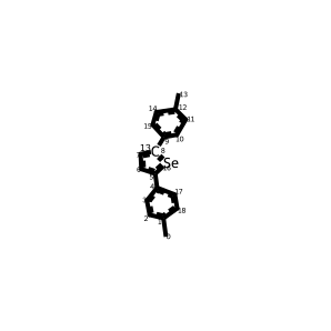 Cc1ccc(-c2cc[13c](-c3ccc(C)cc3)[se]2)cc1